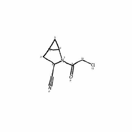 N#CC1CC2CC2N1C(=O)CCl